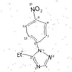 CCc1ncnn1-c1ccc([N+](=O)[O-])cc1